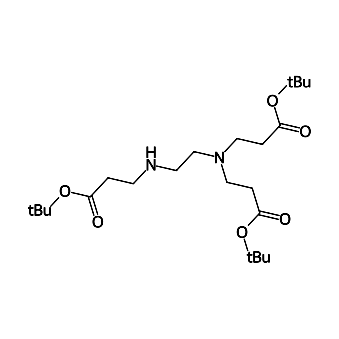 CC(C)(C)OC(=O)CCNCCN(CCC(=O)OC(C)(C)C)CCC(=O)OC(C)(C)C